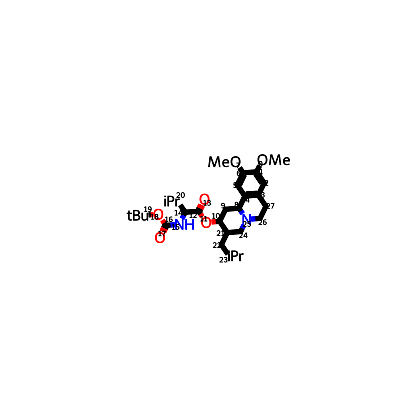 COc1cc2c(cc1OC)C1CC(OC(=O)C(NC(=O)OC(C)(C)C)C(C)C)C(CC(C)C)CN1CC2